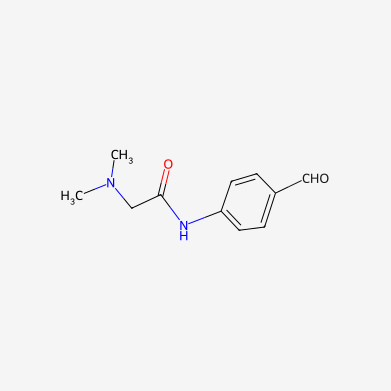 CN(C)CC(=O)Nc1ccc(C=O)cc1